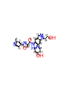 Cc1cc(-c2nc(C(=O)Nc3cc4cnn(CCO)c4cc3N3CCC(O)CC3)co2)ccn1